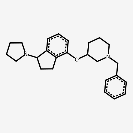 c1ccc(CN2CCCC(Oc3cccc4c3CCC4N3CCCC3)C2)cc1